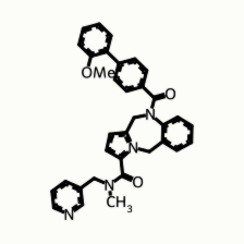 COc1ccccc1-c1ccc(C(=O)N2Cc3ccc(C(=O)N(C)Cc4cccnc4)n3Cc3ccccc32)cc1